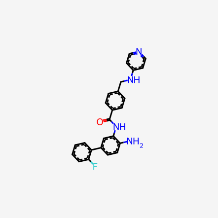 Nc1ccc(-c2ccccc2F)cc1NC(=O)c1ccc(CNc2ccncc2)cc1